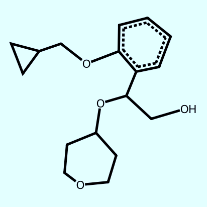 OCC(OC1CCOCC1)c1ccccc1OCC1CC1